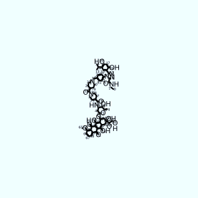 CCNC(=O)c1nnc(-c2cc(C(C)C)c(O)cc2O)n1-c1ccc(CN2CCC(C(=O)N3CCC(C(=O)NC4CC(O[C@H]5C[C@](O)(C(=O)CO)Cc6c(O)c7c(c(O)c65)C(=O)c5c(OC)cccc5C7=O)OC(C)C4O)CC3)CC2)cc1